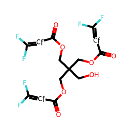 O=[C](OCC(CO)(CO[C](=O)[Cf]=[C](F)F)CO[C](=O)[Cf]=[C](F)F)[Cf]=[C](F)F